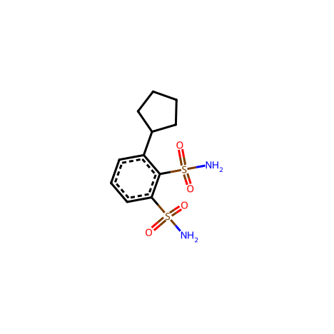 NS(=O)(=O)c1cccc(C2CCCC2)c1S(N)(=O)=O